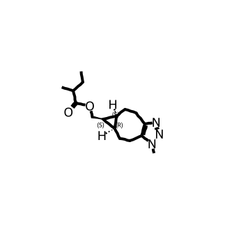 CCC(C)C(=O)OC[C@@H]1[C@@H]2CCc3c(nnn3C)CC[C@@H]21